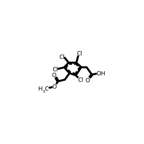 COC(=O)Cc1c(Cl)c(Cl)c(Cl)c(CC(=O)O)c1Cl